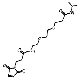 CC(C)NC(=O)CCOCCOCCNC(=O)CCN1C(=O)C=CC1=O